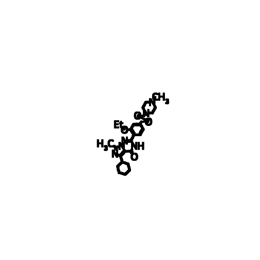 CCOc1cc(S(=O)(=O)N2CCN(C)CC2)ccc1-c1nn2c(C)nc(C3CCCCC3)c2c(=O)[nH]1